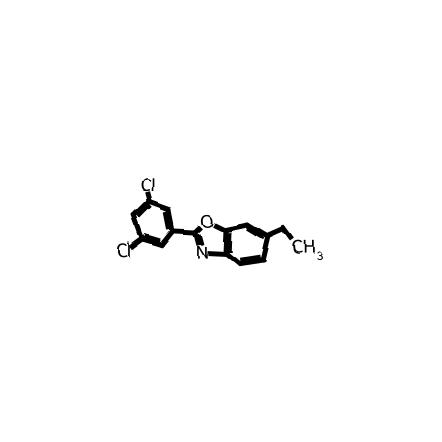 CCc1ccc2nc(-c3cc(Cl)cc(Cl)c3)oc2c1